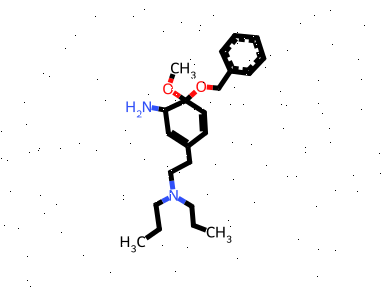 CCCN(CCC)CCC1=CC(N)C(OC)(OCc2ccccc2)C=C1